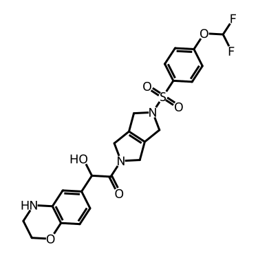 O=C(C(O)c1ccc2c(c1)NCCO2)N1CC2=C(C1)CN(S(=O)(=O)c1ccc(OC(F)F)cc1)C2